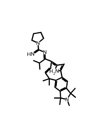 CC1=C(/C(=N/C(=N)N2CCCC2)C(C)C)\C=C\C(C)(C)c2cc3c(cc2\C(N)=C\1)C(C)(C)N(C)C3(C)C